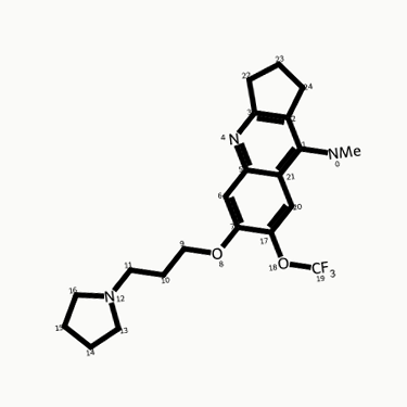 CNc1c2c(nc3cc(OCCCN4CCCC4)c(OC(F)(F)F)cc13)CCC2